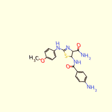 COc1ccc(NC2=NC(C(N)=O)C(NC(=O)c3ccc(N)cc3)S2)cc1